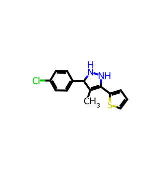 CC1=C(c2cccs2)NNC1c1ccc(Cl)cc1